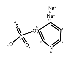 O=S([O-])([O-])=S.[Na+].[Na+].c1ccncc1